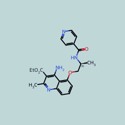 CCOC(=O)c1c(C)nc2cccc(OC[C@H](C)NC(=O)c3ccncc3)c2c1N